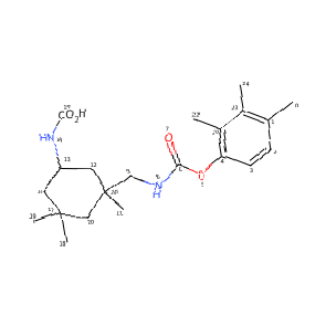 Cc1ccc(OC(=O)NCC2(C)CC(NC(=O)O)CC(C)(C)C2)c(C)c1C